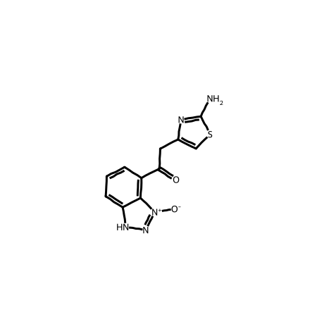 Nc1nc(CC(=O)c2cccc3[nH]n[n+]([O-])c23)cs1